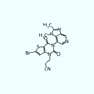 Cc1nc2cncc(-n3c(=O)c4sc(Br)cc4n(CCC#N)c3=O)c2n1C